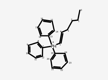 CCCCC=C[PH](c1ccccc1)(c1ccccc1)c1ccccc1